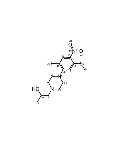 CSc1cc(N2CCN(CC(C)O)CC2)c(F)cc1[N+](=O)[O-]